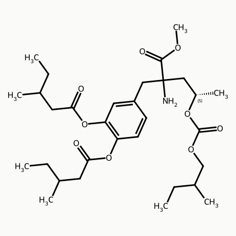 CCC(C)COC(=O)O[C@@H](C)CC(N)(Cc1ccc(OC(=O)CC(C)CC)c(OC(=O)CC(C)CC)c1)C(=O)OC